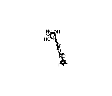 O[C@H]1[C@H](O)[C@@H](O)CN(CCCCC(F)COCc2coc(-c3cc(F)cc(F)c3)n2)C[C@@H]1O